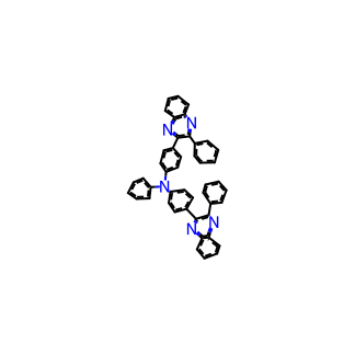 c1ccc(-c2nc3ccccc3nc2-c2ccc(N(c3ccccc3)c3ccc(-c4nc5ccccc5nc4-c4ccccc4)cc3)cc2)cc1